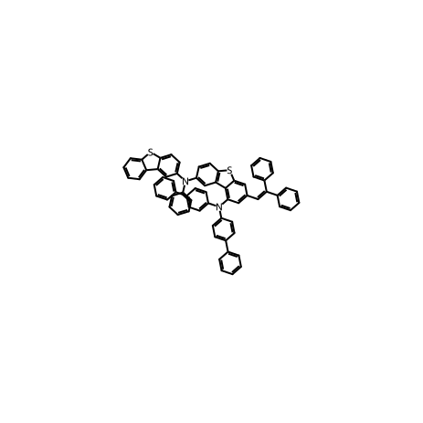 C(=C(c1ccccc1)c1ccccc1)c1cc(N(c2ccc(-c3ccccc3)cc2)c2ccc(-c3ccccc3)cc2)c2c(c1)sc1ccc(N(c3ccccc3)c3ccc4sc5ccccc5c4c3)cc12